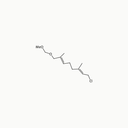 COCOC/C(C)=C/CC/C(C)=C/CCl